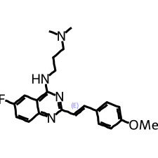 COc1ccc(/C=C/c2nc(NCCCN(C)C)c3cc(F)ccc3n2)cc1